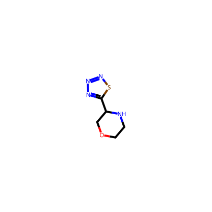 C1COCC(c2nnns2)N1